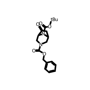 CC(C)(C)OC(=O)N1C2CC(=O)C1CN(C(=O)OCc1ccccc1)C2